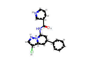 O=C(Nc1cc(-c2ccccc2)cc2c(Cl)cnn12)c1cccnc1